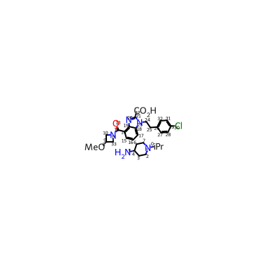 CC(C)N1CCC(N)CC1.COC1CN(C(=O)c2cccc3c2nc(C(=O)O)n3CCc2ccc(Cl)cc2)C1